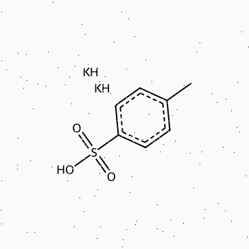 Cc1ccc(S(=O)(=O)O)cc1.[KH].[KH]